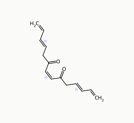 C=C/C=C/CC(=O)/C=C\C(=O)C/C=C/C=C